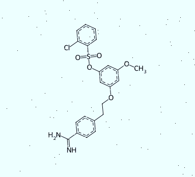 COc1cc(OCCc2ccc(C(=N)N)cc2)cc(OS(=O)(=O)c2ccccc2Cl)c1